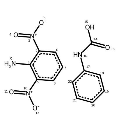 Nc1c([N+](=O)[O-])cccc1[N+](=O)[O-].O=C(O)Nc1ccccc1